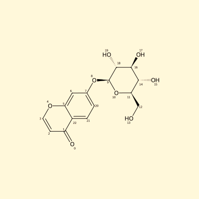 O=c1ccoc2cc(O[C@@H]3O[C@H](CO)[C@@H](O)[C@H](O)[C@H]3O)ccc12